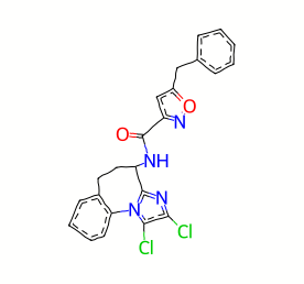 O=C(NC1CCc2ccccc2-n2c1nc(Cl)c2Cl)c1cc(Cc2ccccc2)on1